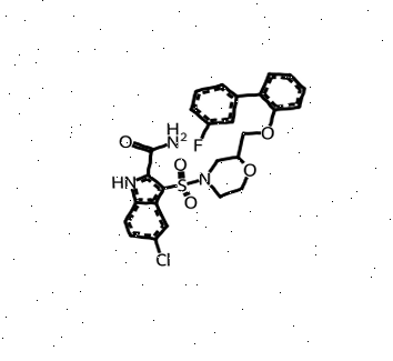 NC(=O)c1[nH]c2ccc(Cl)cc2c1S(=O)(=O)N1CCOC(COc2ccccc2-c2cccc(F)c2)C1